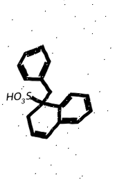 O=S(=O)(O)C1(Cc2ccccc2)CC=Cc2ccccc21